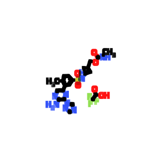 CNC(=O)OCC12CC(NS(=O)(=O)c3ccc(C)c(-c4cnc(N)c(-n5cncn5)n4)c3)(C1)C2.O=C(O)C(F)(F)F